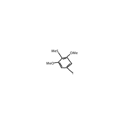 COc1cc(I)cc(OC)c1SC